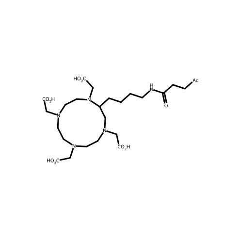 CC(=O)CCC(=O)NCCCCC1CN(CC(=O)O)CCN(CC(=O)O)CCN(CC(=O)O)CCN1CC(=O)O